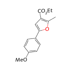 CCOC(=O)c1cc(-c2ccc(OC)cc2)oc1C